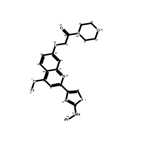 CCOc1cc(-c2csc(NC(C)C)n2)nc2cc(OCC(=O)N3CCOCC3)ccc12